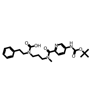 CN(CCCN(CCc1ccccc1)C(=O)O)C(=O)c1ccc(NC(=O)OC(C)(C)C)cn1